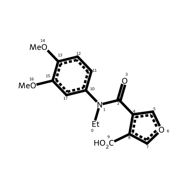 CCN(C(=O)c1cocc1C(=O)O)c1ccc(OC)c(OC)c1